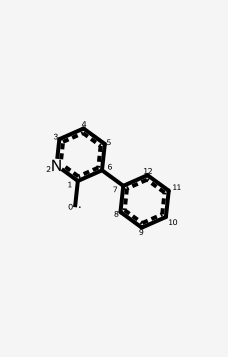 [CH2]c1ncccc1-c1ccccc1